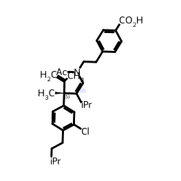 C=C(C)[C@](C)(/C(=C\N(CCc1ccc(C(=O)O)cc1)C(C)=O)C(C)C)c1ccc(CCC(C)C)c(Cl)c1